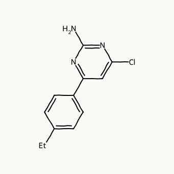 CCc1ccc(-c2cc(Cl)nc(N)n2)cc1